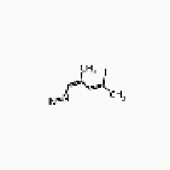 C/C(I)=C/C(C)=C\N=N